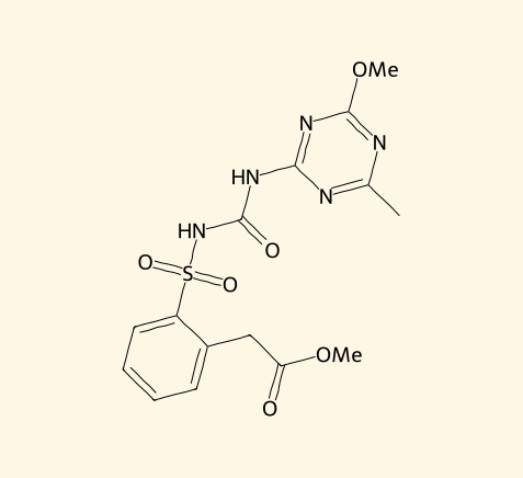 COC(=O)Cc1ccccc1S(=O)(=O)NC(=O)Nc1nc(C)nc(OC)n1